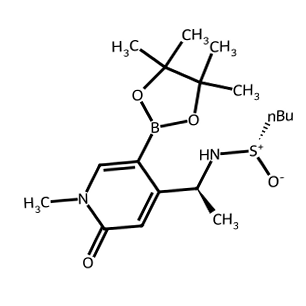 CCCC[S@+]([O-])N[C@@H](C)c1cc(=O)n(C)cc1B1OC(C)(C)C(C)(C)O1